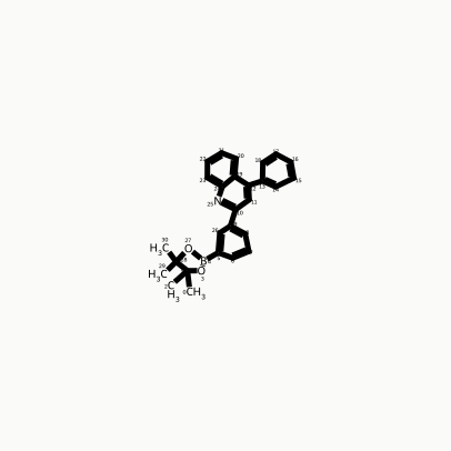 CC1(C)OB(c2cccc(-c3cc(-c4ccccc4)c4ccccc4n3)c2)OC1(C)C